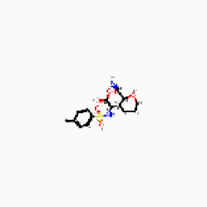 Cc1ccc(S(=O)(=O)NC(C(=O)O)[C@@H]2CCCOC2C#N)cc1